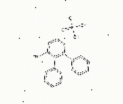 CC(C)(C)c1cccc(-c2ccccc2)c1-c1ccccc1.O=P(O)(O)O